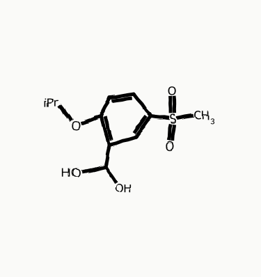 CC(C)Oc1ccc(S(C)(=O)=O)cc1C(O)O